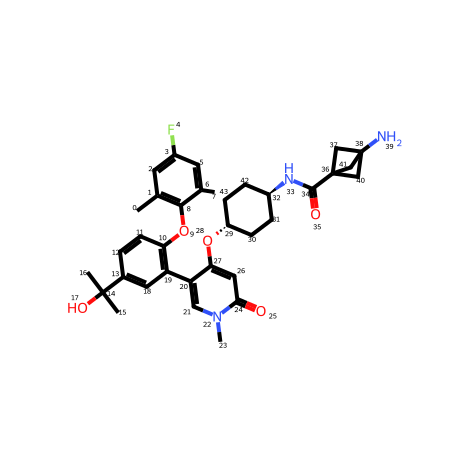 Cc1cc(F)cc(C)c1Oc1ccc(C(C)(C)O)cc1-c1cn(C)c(=O)cc1O[C@H]1CC[C@H](NC(=O)C23CC(N)(C2)C3)CC1